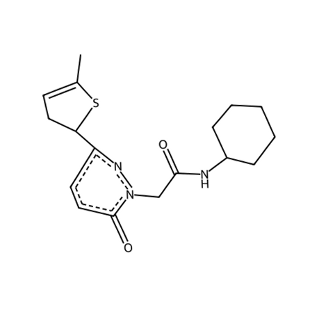 CC1=CCC(c2ccc(=O)n(CC(=O)NC3CCCCC3)n2)S1